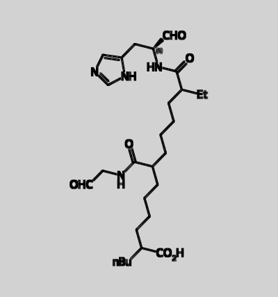 CCCCC(CCCCC(CCCCC(CC)C(=O)N[C@H](C=O)Cc1cnc[nH]1)C(=O)NCC=O)C(=O)O